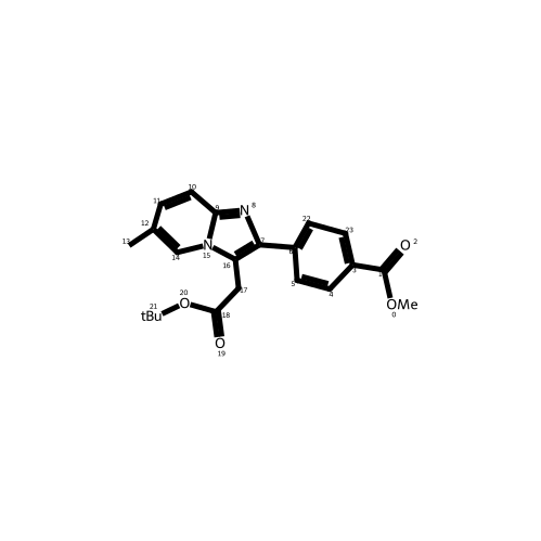 COC(=O)c1ccc(-c2nc3ccc(C)cn3c2CC(=O)OC(C)(C)C)cc1